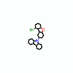 Brc1cccc2oc3ccc(-n4c5ccccc5c5ccccc54)cc3c12